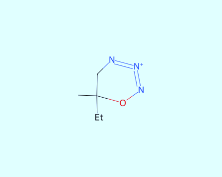 CCC1(C)CN=[N+]=NO1